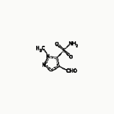 Cn1ncc(C=O)c1S(N)(=O)=O